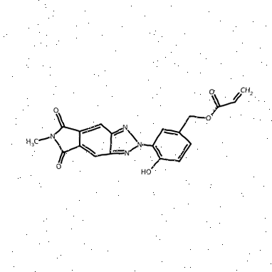 C=CC(=O)OCc1ccc(O)c(-n2nc3cc4c(cc3n2)C(=O)N(C)C4=O)c1